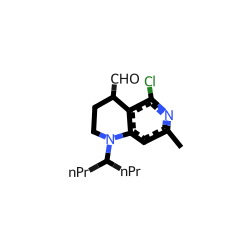 CCCC(CCC)N1CCC(C=O)c2c1cc(C)nc2Cl